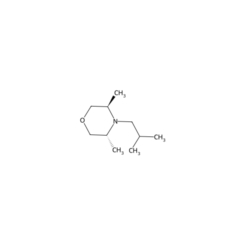 CC(C)CN1[C@H](C)COC[C@H]1C